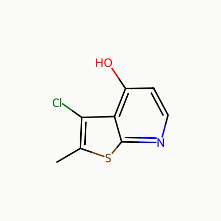 Cc1sc2nccc(O)c2c1Cl